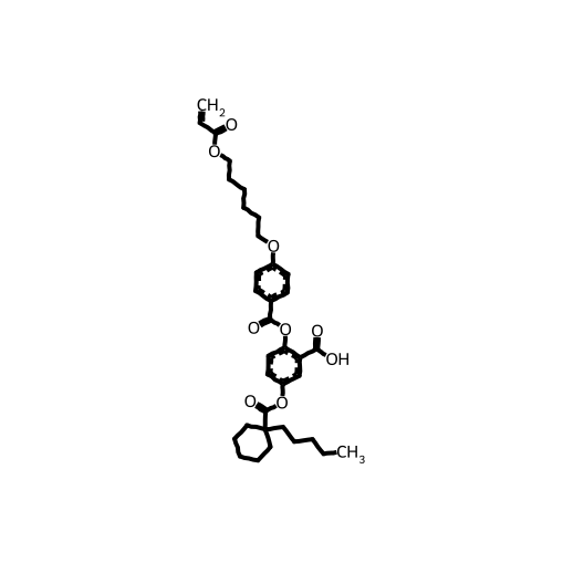 C=CC(=O)OCCCCCCOc1ccc(C(=O)Oc2ccc(OC(=O)C3(CCCCC)CCCCC3)cc2C(=O)O)cc1